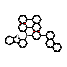 c1ccc(-c2cccc3cccc(-c4ccccc4N(c4ccc(-c5cccc6c5ccc5ccccc56)cc4)c4cccc5c4oc4ccccc45)c23)cc1